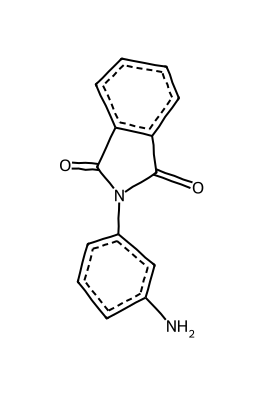 Nc1cccc(N2C(=O)c3ccccc3C2=O)c1